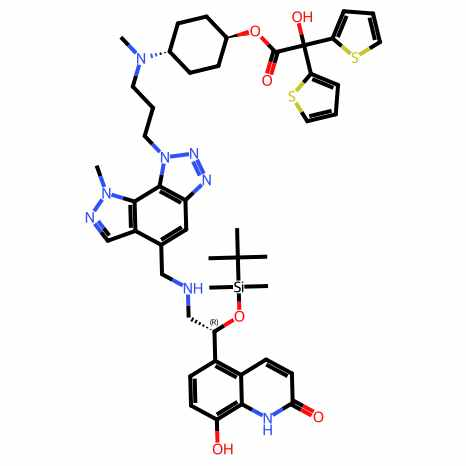 Cn1ncc2c(CNC[C@H](O[Si](C)(C)C(C)(C)C)c3ccc(O)c4[nH]c(=O)ccc34)cc3nnn(CCCN(C)[C@H]4CC[C@H](OC(=O)C(O)(c5cccs5)c5cccs5)CC4)c3c21